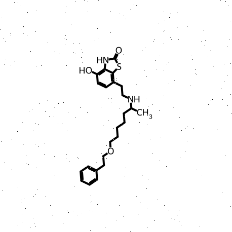 CC(CCCCCOCCc1ccccc1)NCCc1ccc(O)c2[nH]c(=O)sc12